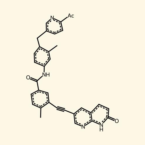 CC(=O)c1ccc(Cc2ccc(NC(=O)c3ccc(C)c(C#Cc4cnc5[nH]c(=O)ccc5c4)c3)cc2C)cn1